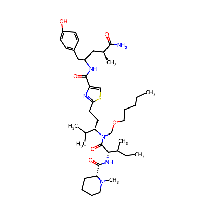 CCCCCOCN(C(=O)[C@@H](NC(=O)[C@H]1CCCCN1C)C(C)CC)[C@H](CCc1nc(C(=O)N[C@@H](Cc2ccc(O)cc2)C[C@H](C)C(N)=O)cs1)C(C)C